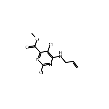 C=CCNc1nc(Cl)nc(C(=O)OC)c1Cl